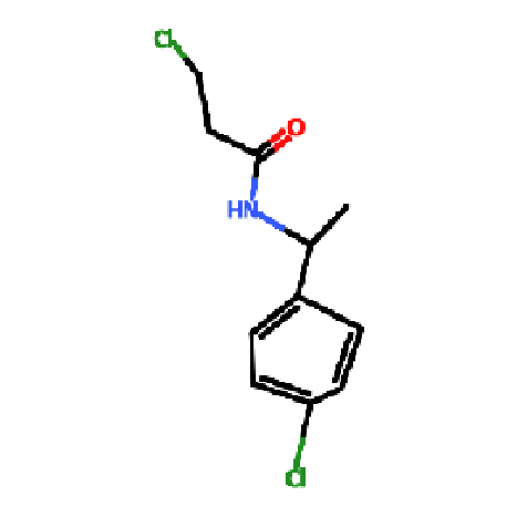 CC(NC(=O)CCCl)c1ccc(Cl)cc1